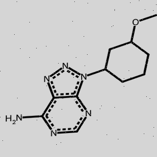 COC1CCCC(n2nnc3c(N)ncnc32)C1